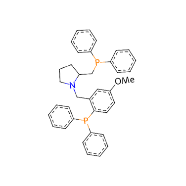 COc1ccc(P(c2ccccc2)c2ccccc2)c(CN2CCCC2CP(c2ccccc2)c2ccccc2)c1